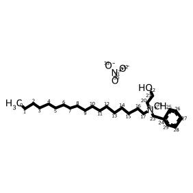 CCCCCCCCCCCCCCCCCC[N+](C)(CCO)Cc1ccccc1.O=[N+]([O-])[O-]